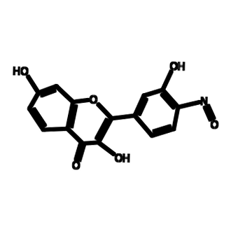 O=Nc1ccc(-c2oc3cc(O)ccc3c(=O)c2O)cc1O